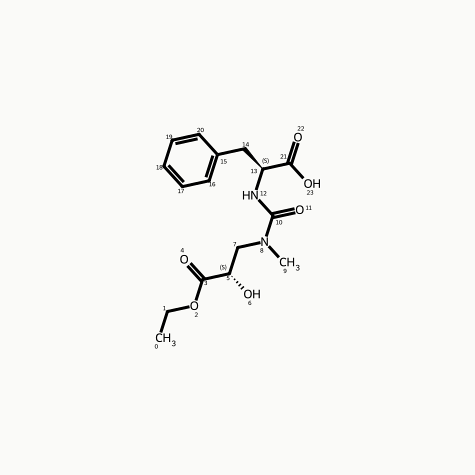 CCOC(=O)[C@@H](O)CN(C)C(=O)N[C@@H](Cc1ccccc1)C(=O)O